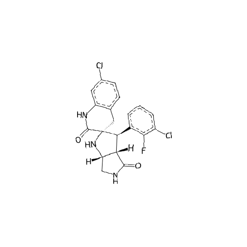 O=C1NC[C@@H]2N[C@]3(Cc4ccc(Cl)cc4NC3=O)[C@@H](c3cccc(Cl)c3F)[C@H]12